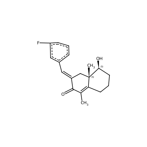 CC1=C2CCC[C@H](O)[C@@]2(C)CC(=Cc2cccc(F)c2)C1=O